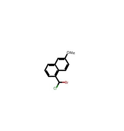 COc1ccc2c(C(Cl)Br)cccc2c1